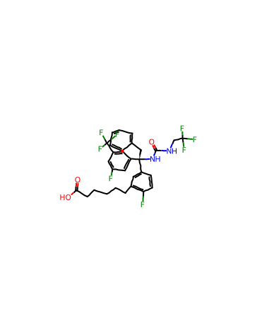 O=C(O)CCCCCc1cc([C@@](Cc2ccccc2)(NC(=O)NCC(F)(F)F)c2cc(F)cc(C(F)(F)F)c2)ccc1F